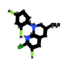 O=C(O)C1=Cc2cc(F)c(Cl)nc2N(c2ccc(F)cc2F)C1